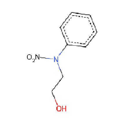 O=[N+]([O-])N(CCO)c1ccccc1